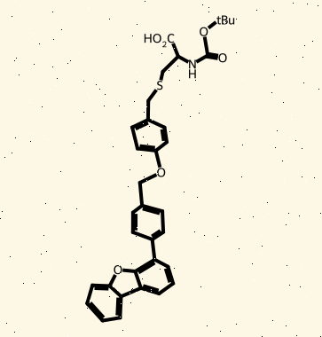 CC(C)(C)OC(=O)NC(CSCc1ccc(OCc2ccc(-c3cccc4c3oc3ccccc34)cc2)cc1)C(=O)O